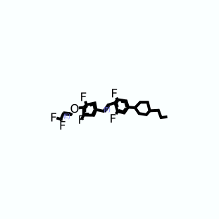 CCCC1CCC(c2cc(F)c(/C=C/c3cc(F)c(O/C=C/C(F)F)c(F)c3)c(F)c2)CC1